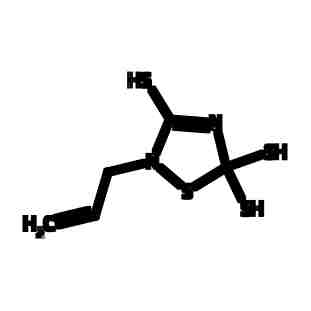 C=CCN1SC(S)(S)N=C1S